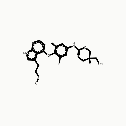 OCC1(F)CN=C(Nc2cc(F)c(Oc3ccnc4[nH]cc(CCOC(F)(F)F)c34)c(F)c2)OC1